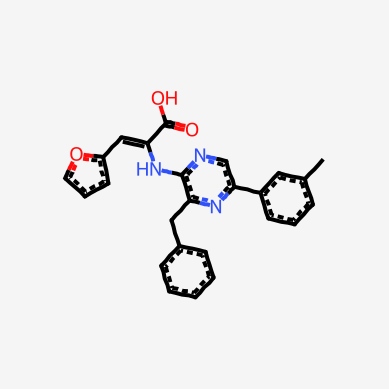 Cc1cccc(-c2cnc(N/C(=C\c3ccco3)C(=O)O)c(Cc3ccccc3)n2)c1